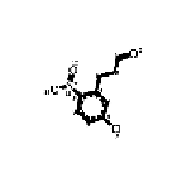 O=CCCc1cc(Cl)ccc1[N+](=O)[O-]